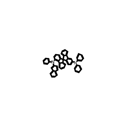 c1ccc(N(c2ccccc2)c2ccc3c(c2)-c2ccccc2C32c3ccccc3-c3c(N(c4ccccc4)c4ccc5ccccc5c4)cccc32)cc1